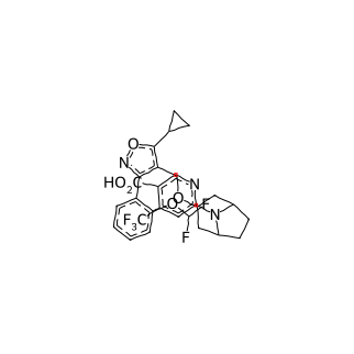 O=C(O)c1cnc(N2C3CCC2CC(OCc2c(-c4ccccc4OC(F)F)noc2C2CC2)C3)cc1C(F)(F)F